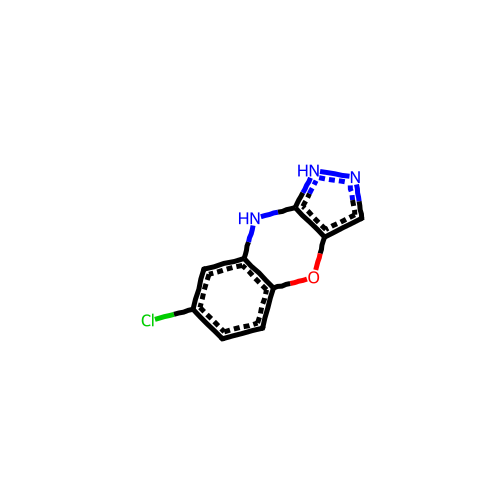 Clc1ccc2c(c1)Nc1[nH]ncc1O2